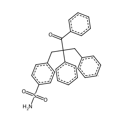 NS(=O)(=O)c1ccc(CC(Cc2cc[c]cc2)(C(=O)c2ccccc2)c2ccccc2)cc1